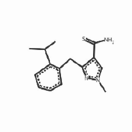 CC(C)c1ccccc1Cc1nn(C)cc1C(N)=S